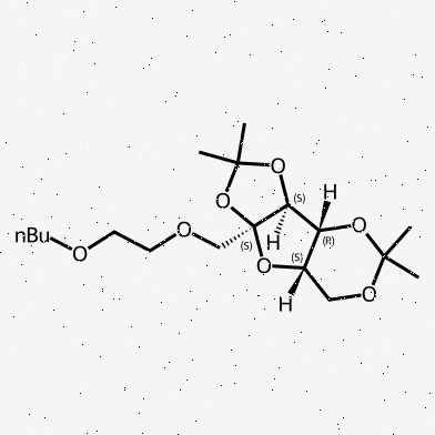 CCCCOCCOC[C@@]12O[C@H]3COC(C)(C)O[C@H]3[C@@H]1OC(C)(C)O2